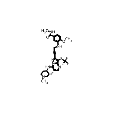 CNC(=O)c1ccc(OC)c(NCC#Cc2nn3c(N[C@@H]4CCN(C)C[C@@H]4F)ccnc3c2SC(F)(F)F)c1